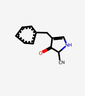 N#CC1NC=C(Cc2ccccc2)C1=O